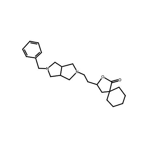 O=C1OC(CCN2CC3CN(Cc4ccccc4)CC3C2)CC12CCCCC2